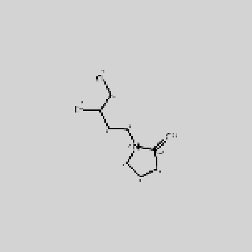 CCC(CCl)CCN1CCCC1=O